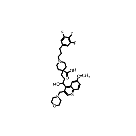 COc1ccc2ncc(CN3CCOCC3)c(C(O)CCC3(C(=O)O)CCN(CCCc4cc(F)c(F)c(F)c4)CC3)c2c1